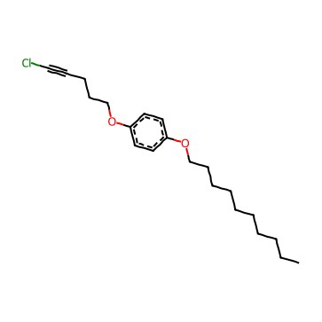 CCCCCCCCCCOc1ccc(OCCCC#CCl)cc1